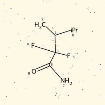 CC(C)C(C)C(F)(F)C(N)=O